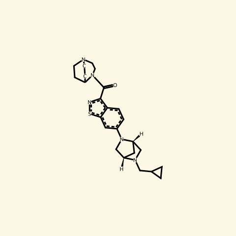 O=C(c1nsc2cc(N3C[C@@H]4C[C@H]3CN4CC3CC3)ccc12)N1CCN2CCC1CC2